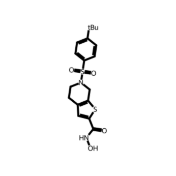 CC(C)(C)c1ccc(S(=O)(=O)N2CCc3cc(C(=O)NO)sc3C2)cc1